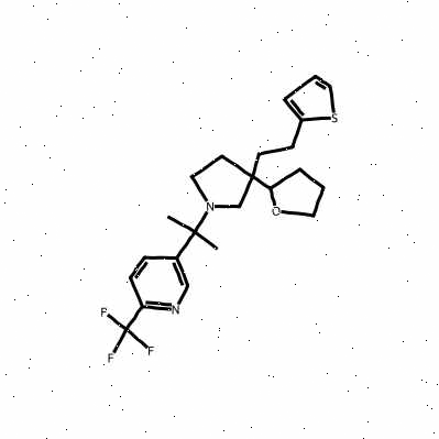 CC(C)(c1ccc(C(F)(F)F)nc1)N1CCC(CCc2cccs2)(C2CCCO2)C1